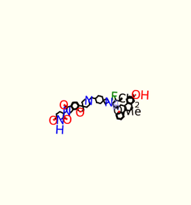 C=C/C(F)=C(\C=C(/CC1c2ccc(O)cc2CCC1c1ccccc1)OC)N1CC2(CCC(CN3CCC4(CC3)COc3c4ccc4c3CN(C3CCC(=O)NC3=O)C4=O)CC2)C1